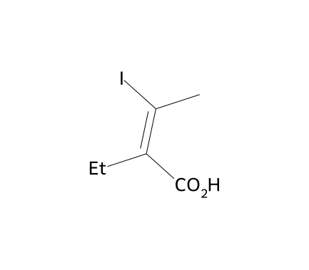 CCC(C(=O)O)=C(C)I